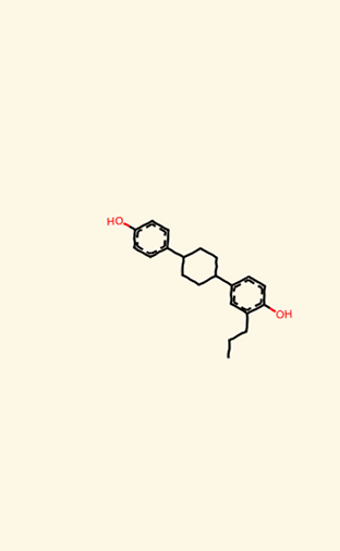 CCCc1cc(C2CCC(c3ccc(O)cc3)CC2)ccc1O